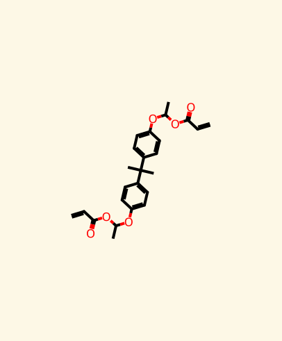 C=CC(=O)OC(C)Oc1ccc(C(C)(C)c2ccc(OC(C)OC(=O)C=C)cc2)cc1